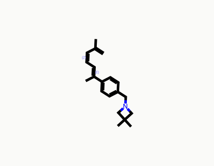 C=C(C)/C=C\C=C(/C)c1ccc(CN2CC(C)(C)C2)cc1